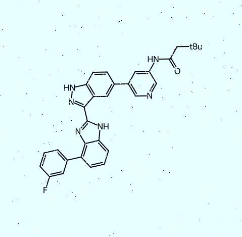 CC(C)(C)CC(=O)Nc1cncc(-c2ccc3[nH]nc(-c4nc5c(-c6cccc(F)c6)cccc5[nH]4)c3c2)c1